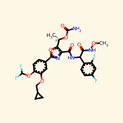 CONC(=O)C(NC(=O)c1nc(-c2ccc(OC(F)F)c(OCC3CC3)c2)oc1[C@H](C)OC(N)=O)c1ccc(F)cc1F